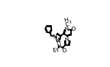 CCNC(=O)c1ccn(-c2cc(=O)n(C)cc2-c2cnn(Cc3ccccc3)c2)c1